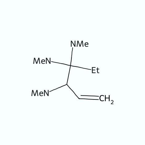 C=CC(NC)C(CC)(NC)NC